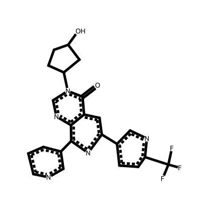 O=c1c2cc(-c3ccc(C(F)(F)F)nc3)nc(-c3cccnc3)c2ncn1C1CCC(O)C1